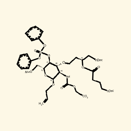 C=CCO[C@H]1O[C@H](COC)[C@@H](OP(=O)(Oc2ccccc2)Oc2ccccc2)[C@H](OCC[C@@H](CCCCCCCCCCC)OC(=O)CCCCCCCCCCCCC)[C@H]1NC(=O)OCC(Cl)(Cl)Cl